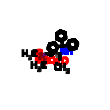 COC(=O)[C@H](CC(=O)CP(=O)(OC)OC)NC(c1ccccc1)(c1ccccc1)c1ccccc1